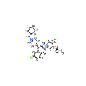 COc1cc2c(cc1Cl)nc(CC1CCN(Cc3ccccc3)CC1)n2Cc1ccc(F)cc1